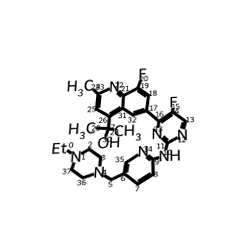 CCN1CCN(Cc2ccc(Nc3ncc(F)c(-c4cc(F)c5nc(C)cc(C(C)(C)O)c5c4)n3)nc2)CC1